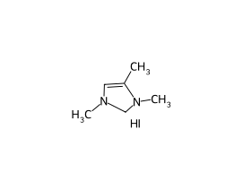 CC1=CN(C)CN1C.I